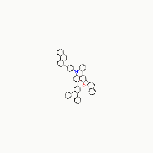 c1ccc(-c2ccc(-c3ccc(N(c4ccc(-c5cccc6c5ccc5ccccc56)cc4)c4ccccc4-c4ccc5oc6c7ccccc7ccc6c5c4)cc3)cc2-c2ccccc2)cc1